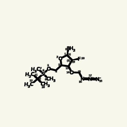 B[C@@H]1OC(CO[Si](C)(C)C(C)(C)C)C(OCN=[N+]=[N-])[C@@H]1F